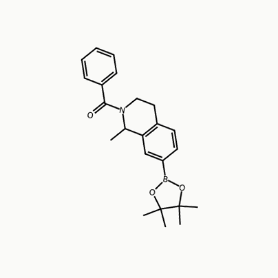 CC1c2cc(B3OC(C)(C)C(C)(C)O3)ccc2CCN1C(=O)c1ccccc1